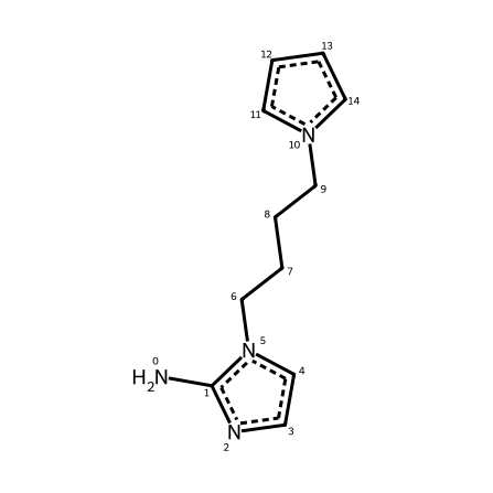 Nc1nccn1CCCCn1cccc1